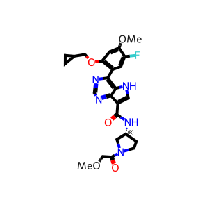 COCC(=O)N1CC[C@@H](NC(=O)c2c[nH]c3c(-c4cc(F)c(OC)cc4OCC4CC4)ncnc23)C1